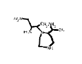 CC(N)C1CNCCN1C(C)C(N)CN